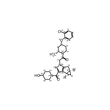 C[C@H]1C[C@@H](Oc2ncccc2Cl)CCN1C(=O)Cn1nc(C(=O)N2CCC(O)CC2)c2c1C[C@H]1C[C@@H]21